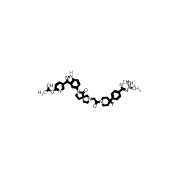 C=N/C(=N\N(C)C)c1ccc(C2(F)CCN(C(=O)CN3CC[C@]4(CCN(c5ccc6[nH]nc(-c7ccc(OC(C)C)nc7)c6c5)C4=O)C3)CC2)cc1